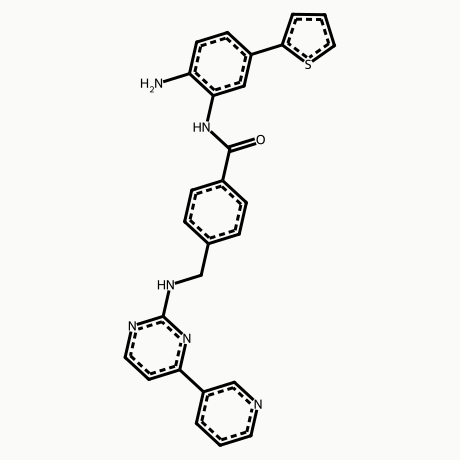 Nc1ccc(-c2cccs2)cc1NC(=O)c1ccc(CNc2nccc(-c3cccnc3)n2)cc1